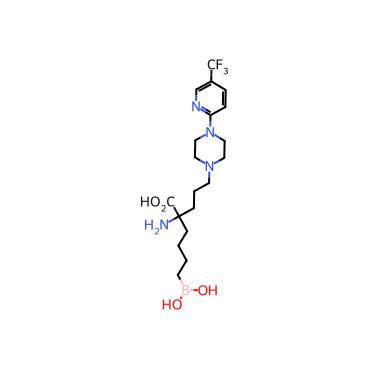 NC(CCCCB(O)O)(CCCN1CCN(c2ccc(C(F)(F)F)cn2)CC1)C(=O)O